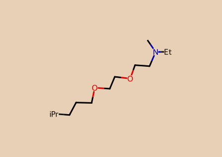 CCN(C)CCOCCOCCCC(C)C